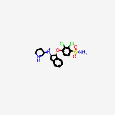 CN(C1CCCNC1)[C@@H]1Cc2ccccc2[C@H]1Oc1ccc(S(N)(=O)=O)c(Cl)c1Cl